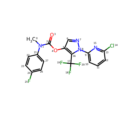 CN(C(=O)Oc1cnn(-c2cccc(Cl)n2)c1C(F)(F)F)c1ccc(F)cc1